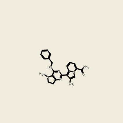 Cc1cn2c(C(N)=O)cccc2c1-c1nc2c(c(NCc3ccccc3)n1)N(C)CC2